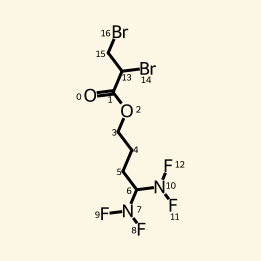 O=C(OCCCC(N(F)F)N(F)F)C(Br)CBr